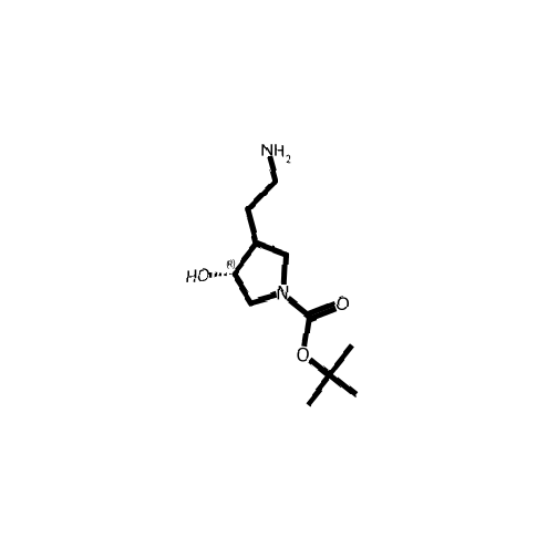 CC(C)(C)OC(=O)N1CC(CCN)[C@@H](O)C1